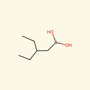 CCC(CC)CB(O)O